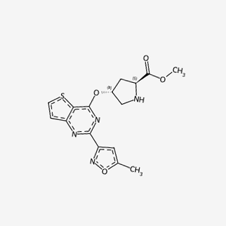 COC(=O)[C@@H]1C[C@@H](Oc2nc(-c3cc(C)on3)nc3ccsc23)CN1